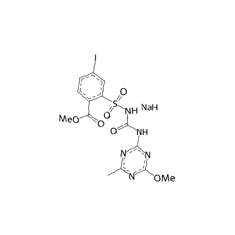 COC(=O)c1ccc(I)cc1S(=O)(=O)NC(=O)Nc1nc(C)nc(OC)n1.[NaH]